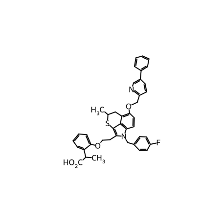 CC1Cc2c(OCc3ccc(-c4ccccc4)cn3)ccc3c2c(c(CCOc2ccccc2C(C)C(=O)O)n3Cc2ccc(F)cc2)S1